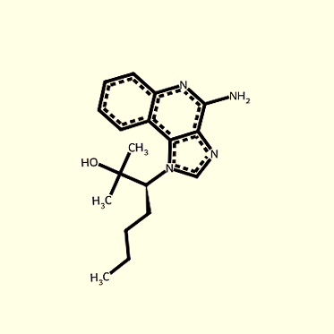 CCCC[C@H](n1cnc2c(N)nc3ccccc3c21)C(C)(C)O